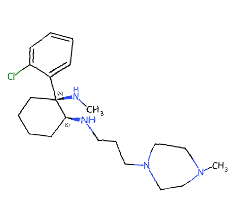 CN[C@]1(c2ccccc2Cl)CCCC[C@@H]1NCCCN1CCN(C)CC1